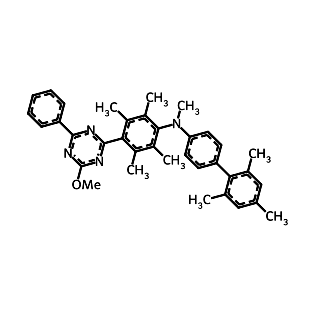 COc1nc(-c2ccccc2)nc(-c2c(C)c(C)c(N(C)c3ccc(-c4c(C)cc(C)cc4C)cc3)c(C)c2C)n1